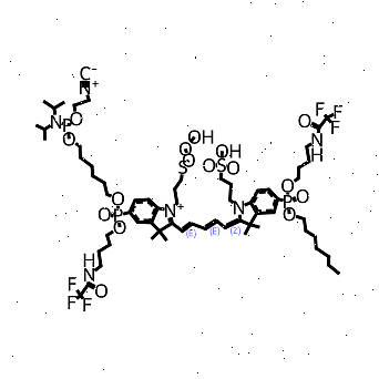 [C-]#[N+]CCOP(OCCCCCCOP(=O)(OCCCCNC(=O)C(F)(F)F)c1ccc2c(c1)C(C)(C)C(/C=C/C=C/C=C1\N(CCCS(=O)(=O)O)c3ccc(P(=O)(OCCCCCCC)OCCCCNC(=O)C(F)(F)F)cc3C1(C)C)=[N+]2CCCSOOO)N(C(C)C)C(C)C